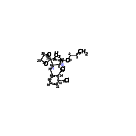 C=CCO/N=C/C(=C\c1cccc(Cl)c1Cl)C1(C)OCCO1